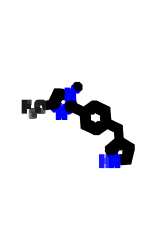 Cn1cc(C(F)(F)F)nc1-c1ccc(Cc2cc[nH]c2)cc1